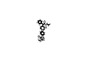 CCCNC(=O)C(c1ccccc1)C1CCN(c2ccc(-n3cnn(CC)c3=O)cc2)CC1